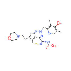 COc1c(C)cnc(Cn2nc3cc(CCN4CCOCC4)c4c-3c(n2)C(NC(=O)O)=NSC4)c1C